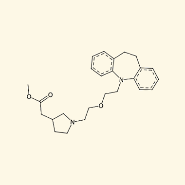 COC(=O)CC1CCN(CCOCCN2c3ccccc3CCc3ccccc32)C1